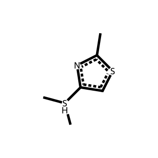 Cc1nc([SH](C)C)cs1